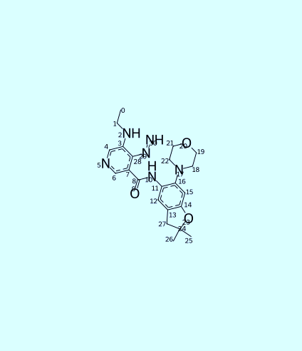 CCNc1cncc(C(=O)Nc2cc3c(cc2N2CCOCC2)OC(C)(C)C3)c1N=N